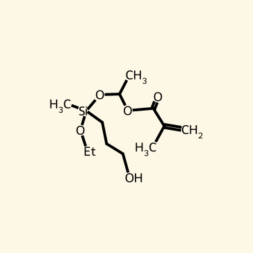 C=C(C)C(=O)OC(C)O[Si](C)(CCCO)OCC